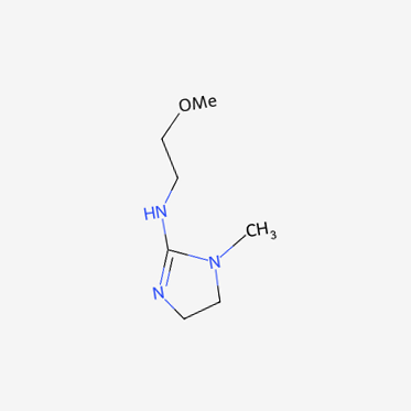 COCCNC1=NCCN1C